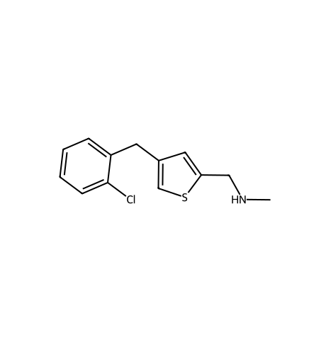 CNCc1cc(Cc2ccccc2Cl)cs1